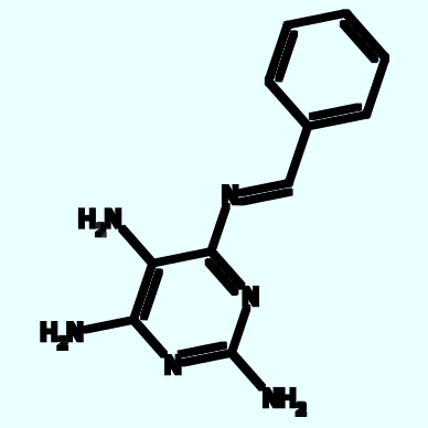 Nc1nc(N)c(N)c(/N=C/c2ccccc2)n1